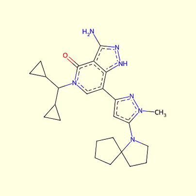 Cn1nc(-c2cn(C(C3CC3)C3CC3)c(=O)c3c(N)n[nH]c23)cc1N1CCCC12CCCC2